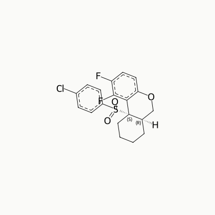 O=S(=O)(c1ccc(Cl)cc1)[C@@]12CCCC[C@@H]1COc1ccc(F)c(F)c12